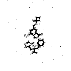 Cn1cnnc1C[C@@](O)(Cc1cccc(N2Cc3c(cc(CNC4(C)CCC4)cc3C(F)(F)F)C2=O)c1)C(F)F